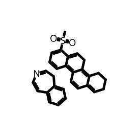 C1=Cc2ccccc2CC=N1.CS(=O)(=O)c1cccc2c1=CCc1c3c(ccc1=2)=CCCC3